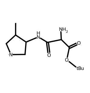 CC1C[N]CC1NC(=O)C(N)C(=O)OC(C)(C)C